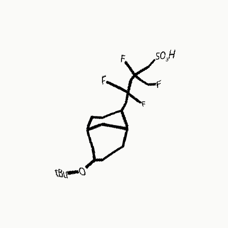 CC(C)(C)OC1CC2CC1CC2C(F)(F)C(F)(F)S(=O)(=O)O